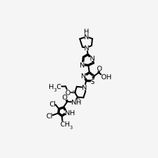 CCO[C@H]1CN(c2nc(-c3cnc(N4CCNCC4)cn3)c(C(=O)O)s2)CC[C@H]1NC(=O)c1[nH]c(C)c(Cl)c1Cl